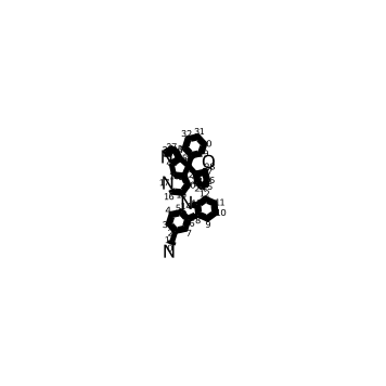 N#Cc1ccc2c(c1)c1ccccc1n2-c1cnc2c(c1)C1(c3ccccc3Oc3ccccc31)c1cccnc1-2